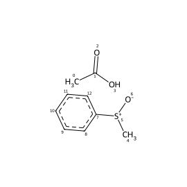 CC(=O)O.C[S+]([O-])c1ccccc1